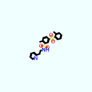 Cc1ccc(S(=O)(=O)c2ccccc2C)cc1S(=O)(=O)NCCc1ccccn1